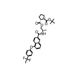 C[C@H](COC(=O)[C@@H]1CCCN1C(=O)OC(C)(C)C)NC(=O)c1ccc2c(Oc3ccc(C(F)(F)F)cc3)cccc2c1